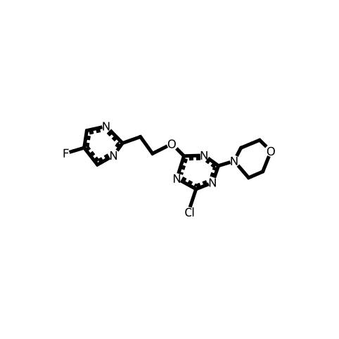 Fc1cnc(CCOc2nc(Cl)nc(N3CCOCC3)n2)nc1